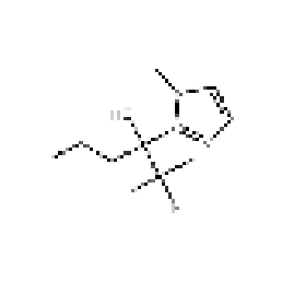 CCCC(O)(c1nccn1C)C(F)(F)F